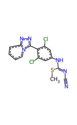 CSC(=NC#N)Nc1cc(Cl)c(-c2nnc3ccccn23)c(Cl)c1